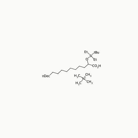 CCCCCCCCCCCCCCCCCCC(O[Si](CC)(CC)C(C)(C)C)C(=O)O.C[N+](C)(C)C